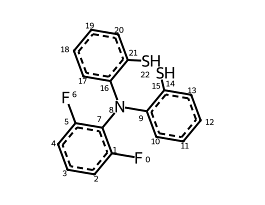 Fc1cccc(F)c1N(c1ccccc1S)c1ccccc1S